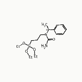 CCO[Si](CCCN(C(N)=O)[C@@H](C)c1ccccc1)(OCC)OCC